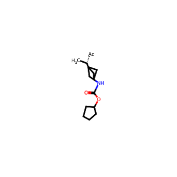 CC(=O)[C@@H](C)C12CC(NC(=O)OC3CCCC3)(C1)C2